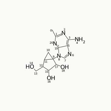 Cc1nc(N)c2ncn(C34CC3C(CO)C(O)C4O)c2n1